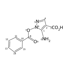 Nc1c(C(=O)O)cnn1OC(=O)c1ccccc1